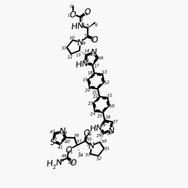 COC(=O)N[C@@H](C)C(=O)N1CCC[C@H]1c1ncc(-c2ccc(-c3ccc(-c4cnc([C@@H]5CCCN5C(=O)[C@](C)(Cc5cscn5)OC(N)=O)[nH]4)cc3)cc2)[nH]1